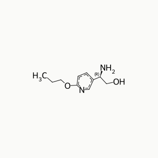 CCCOc1ccc([C@@H](N)CO)cn1